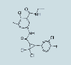 CCNC(=O)c1cc(NC(=O)C2C(c3ccc(F)c(Cl)c3)C2(Cl)Cl)cc(C)c1Cl